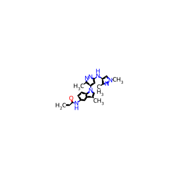 C=CC(=O)Nc1ccc2c(c1)c(C)cn2-c1cc(Nc2cn(C)nc2C)nnc1C